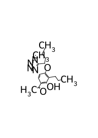 CCCCC(Oc1ccc(C(C)=O)c(O)c1CCC)c1nnnn1C